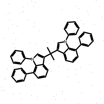 CC(C)(c1cn(-c2ccccc2)c2c(-c3ccccc3)cccc12)c1cn(-c2ccccc2)c2c(-c3ccccc3)cccc12